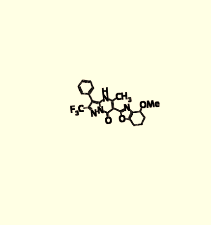 COC1CCCc2oc(-c3c(C)[nH]c4c(-c5ccccc5)c(C(F)(F)F)nn4c3=O)nc21